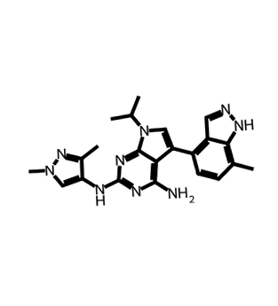 Cc1nn(C)cc1Nc1nc(N)c2c(-c3ccc(C)c4[nH]ncc34)cn(C(C)C)c2n1